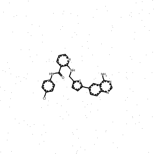 Nc1ncnc2ccc(-c3ccc(CNc4ncccc4C(=O)Nc4ccc(Cl)cc4)s3)cc12